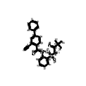 C#Cc1cc(-c2ccccc2)ccc1C(=O)Nc1ccccc1S(=O)(=O)NC(=O)C(C)(C)C